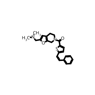 CN(C)Cc1cc2c(o1)CN(C(=O)c1ccc(/C=C\c3ccccc3)s1)CC2